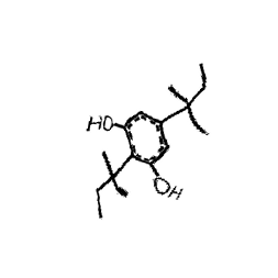 CCC(C)(C)c1cc(O)c(C(C)(C)CC)c(O)c1